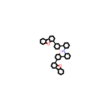 c1ccc2c(c1)-c1cc(-c3cccc4c3oc3ccccc34)ccc1B1c3ccc(-c4cccc5c4oc4ccccc45)cc3-c3ccccc3N12